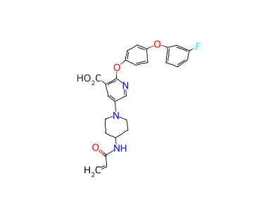 C=CC(=O)NC1CCN(c2cnc(Oc3ccc(Oc4cccc(F)c4)cc3)c(C(=O)O)c2)CC1